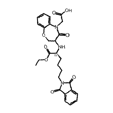 CCOC(=O)[C@H](CCCCN1C(=O)c2ccccc2C1=O)NC1COc2ccccc2N(CC(=O)O)C1=O